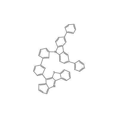 c1ccc(-c2ccc3c(c2)c2cc(-c4ccccc4)ccc2n3-c2cccc(-c3cccc(-c4c5ccccc5nc5c4sc4ccccc45)c3)c2)cc1